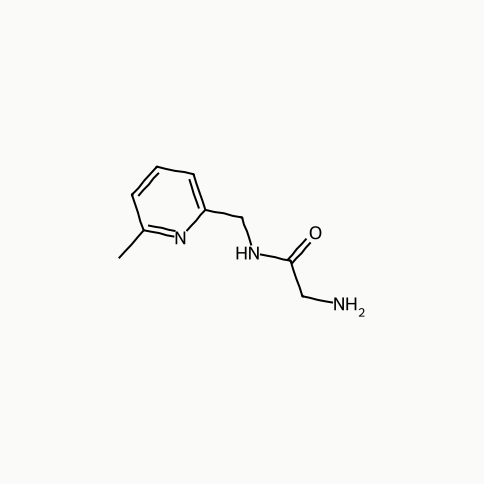 Cc1cccc(CNC(=O)CN)n1